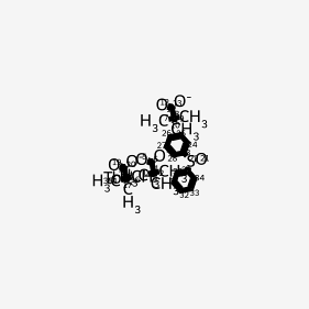 CC(C)(C)C(=O)[O-].CC(C)(C)C(=O)[O-].CC(C)(C)C(=O)[O-].O=S(c1ccccc1)c1ccccc1.[Tb+3]